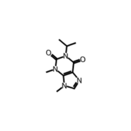 CC(C)n1c(=O)c2ncn(C)c2n(C)c1=O